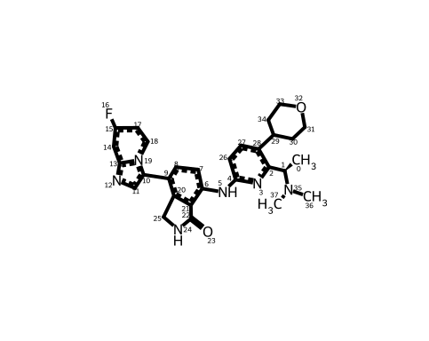 C[C@H](c1nc(Nc2ccc(-c3cnc4cc(F)ccn34)c3c2C(=O)NC3)ccc1C1CCOCC1)N(C)C